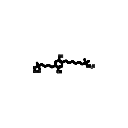 CC(C)(CCCCc1cc(O)c(CCCCCCC(C)(C)C(=O)O)cc1O)OC=O